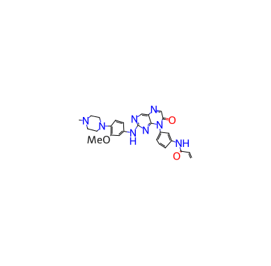 C=CC(=O)Nc1cccc(-n2c(=O)cnc3cnc(Nc4ccc(N5CCN(C)CC5)c(OC)c4)nc32)c1